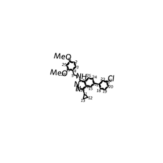 COc1ccc(CNc2nnc(C3CC3)c3cc(-c4cccc(Cl)c4)ccc23)c(OC)c1